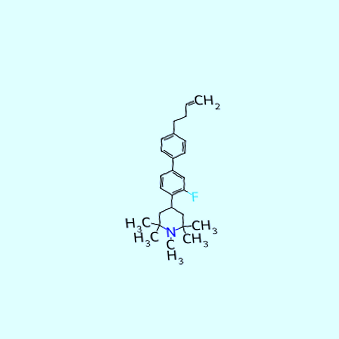 C=CCCc1ccc(-c2ccc(C3CC(C)(C)N(C)C(C)(C)C3)c(F)c2)cc1